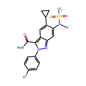 CCN(c1cc2nn(-c3ccc(Br)cc3)c(C(=O)NC)c2cc1C1CC1)S(=O)(=O)C(F)(F)F